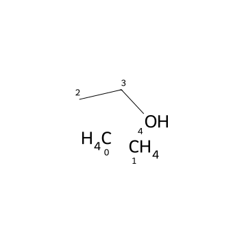 C.C.CCO